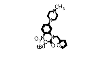 CN1CCN(c2ccc([N+](=O)[O-])c(N(Cc3ccco3)C(=O)OC(C)(C)C)c2)CC1